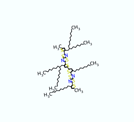 CCCCCCCCCCc1cc(C)sc1-c1nc2sc(-c3sc(-c4cc(CC(CCCCCCCC)CCCCCCCCCC)c(-c5nc6sc(-c7sc(C)cc7CC(CCCCCCCC)CCCCCCCCCC)nc6s5)s4)cc3CCCCCCCCCC)nc2s1